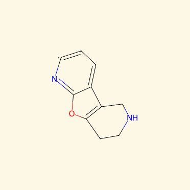 [c]1ccc2c3c(oc2n1)CCNC3